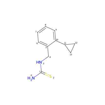 NC(=S)NCc1ccccc1C1CC1